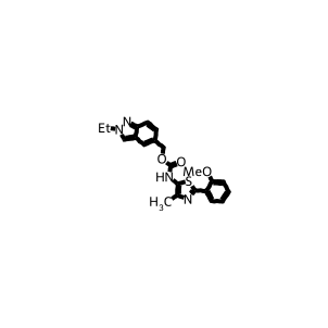 CCn1cc2cc(COC(=O)Nc3sc(-c4ccccc4OC)nc3C)ccc2n1